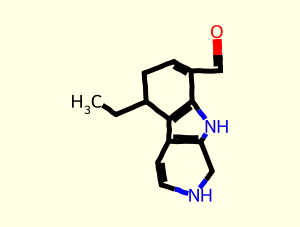 CCC1CC=C(C=O)c2[nH]c3c(c21)C=CNC3